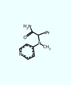 CC(C)C(C(N)=O)N(C)c1ccncc1